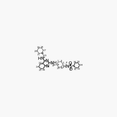 O=S(=O)(NC[C@H]1CC[C@H](CNc2nc(NCC3CCCCC3)c3ccccc3n2)CC1)c1ccccc1